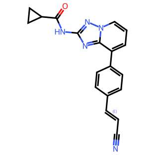 N#C/C=C/c1ccc(-c2cccn3nc(NC(=O)C4CC4)nc23)cc1